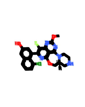 COc1nc2c3c(nc(-c4cc(O)cc5cccc(Cl)c45)c(F)c3n1)OC[C@@H]1CNCCN21